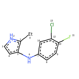 CCc1[nH]ccc1Nc1ccc(F)c(Cl)c1